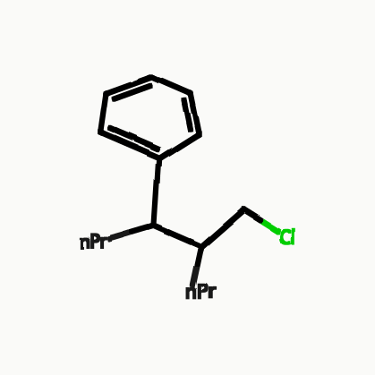 CCCC(CCl)C(CCC)c1ccccc1